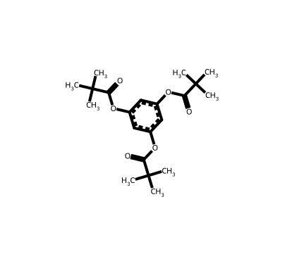 CC(C)(C)C(=O)Oc1cc(OC(=O)C(C)(C)C)cc(OC(=O)C(C)(C)C)c1